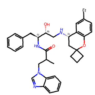 CCc1ccc2c(c1)[C@@H](NC[C@@H](O)[C@H](Cc1ccccc1)NC(=O)C(C)Cn1cnc3ccccc31)CC1(CCC1)O2